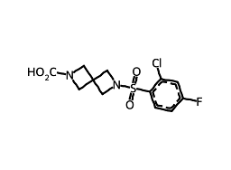 O=C(O)N1CC2(C1)CN(S(=O)(=O)c1ccc(F)cc1Cl)C2